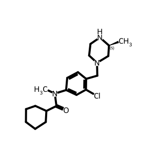 C[C@H]1CN(Cc2ccc(N(C)C(=O)C3CCCCC3)cc2Cl)CCN1